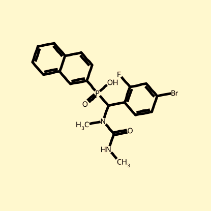 CNC(=O)N(C)C(c1ccc(Br)cc1F)P(=O)(O)c1ccc2ccccc2c1